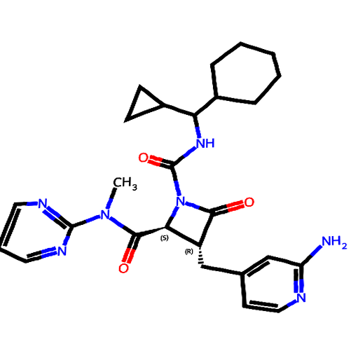 CN(C(=O)[C@@H]1[C@@H](Cc2ccnc(N)c2)C(=O)N1C(=O)NC(C1CCCCC1)C1CC1)c1ncccn1